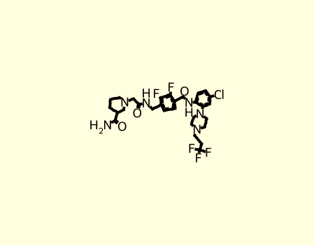 NC(=O)C1CCCN(CC(=O)NCc2ccc(C(=O)Nc3ccc(Cl)cc3N3CCN(CCC(F)(F)F)CC3)c(F)c2F)C1